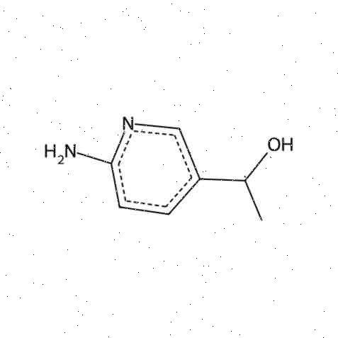 C[C](O)c1ccc(N)nc1